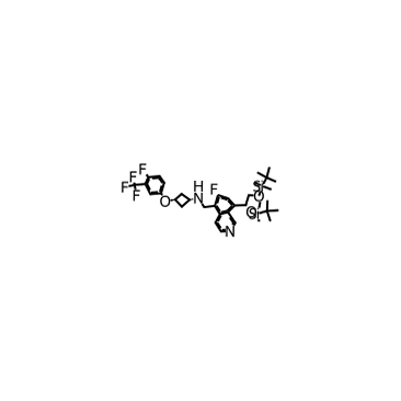 CC(C)(C)[Si](C)(C)OCC(O[Si](C)(C)C(C)(C)C)c1cc(F)c(CN[C@H]2C[C@H](Oc3ccc(F)c(C(F)(F)F)c3)C2)c2ccncc12